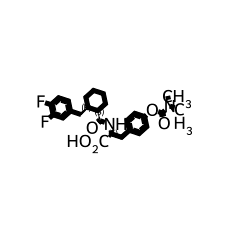 CN(C)C(=O)Oc1ccc(C[C@H](NC(=O)[C@H]2CCCC[C@@H]2Cc2ccc(F)c(F)c2)C(=O)O)cc1